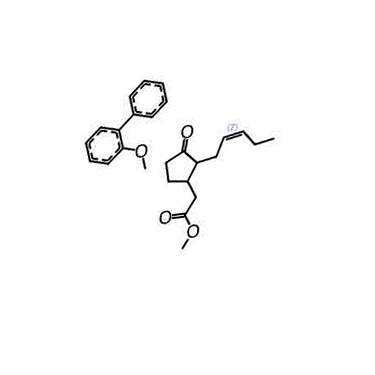 CC/C=C\CC1C(=O)CCC1CC(=O)OC.COc1ccccc1-c1ccccc1